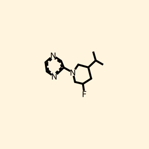 CC(C)C1CC(F)CN(c2cnccn2)C1